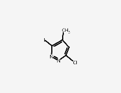 Cc1cc(Cl)nnc1I